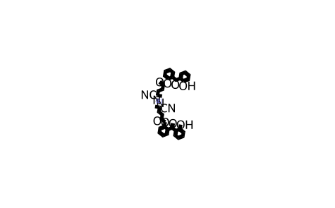 CC(C#N)(CCC(=O)Oc1ccccc1C(=O)c1ccccc1O)/N=N/C(C)(C#N)CCC(=O)Oc1ccccc1C(=O)c1ccccc1O